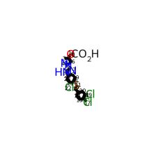 O=C(O)Oc1cnn(-c2nc3cc(SCc4ccc(Cl)c(Cl)c4)c(Cl)cc3[nH]2)c1